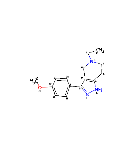 CCN1CCc2[nH]nc(-c3ccc(OC)cc3)c2C1